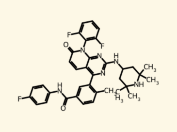 Cc1ccc(C(=O)Nc2ccc(F)cc2)cc1-c1nc(NC2CC(C)(C)NC(C)(C)C2)nc2c1ccc(=O)n2-c1c(F)cccc1F